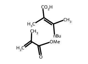 C=C(C)C(=O)OC.CCCCC(C)=C(C)C(=O)O